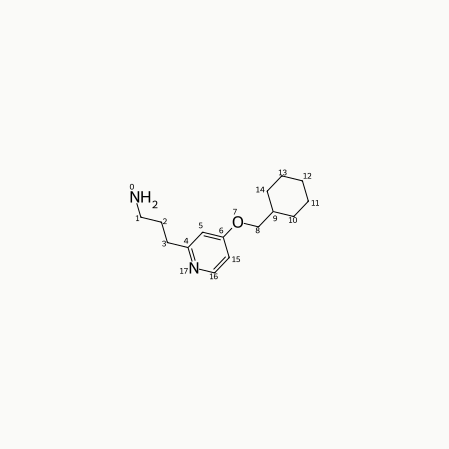 NCCCc1cc(OCC2CCCCC2)ccn1